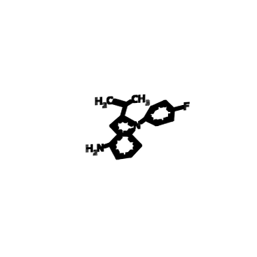 C=C(C)c1cc2c(N)cccc2n1-c1ccc(F)cc1